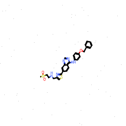 CS(=O)(=O)CCNCc1csc(-c2ccc3c(Nc4ccc(OCc5ccccc5)cc4)ncnc3c2)n1